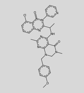 COc1ccc(CN2CN(C)C(=O)c3c(NC(C)c4nc5cccc(Cl)c5c(=O)n4-c4cccnc4)nc(C)nc32)cc1